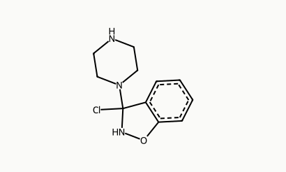 ClC1(N2CCNCC2)NOc2ccccc21